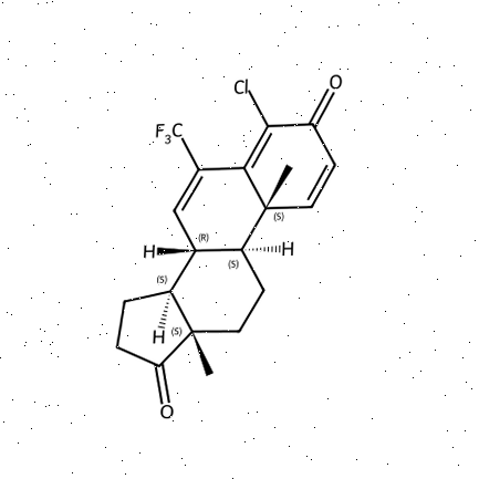 C[C@]12C=CC(=O)C(Cl)=C1C(C(F)(F)F)=C[C@@H]1[C@@H]2CC[C@]2(C)C(=O)CC[C@@H]12